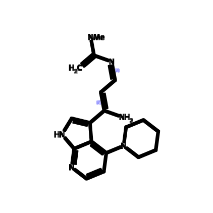 C=C(/N=C\C=C(/N)c1c[nH]c2nccc(N3CCCCC3)c12)NC